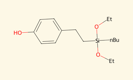 CCCC[Si](CCc1ccc(O)cc1)(OCC)OCC